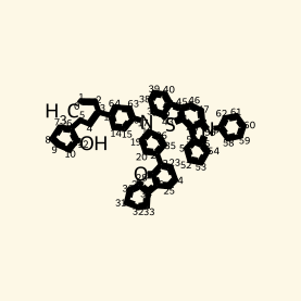 C/C=C\C(=C/Cc1ccccc1O)c1ccc(N(c2ccc(-c3cccc4c3oc3ccccc34)cc2)c2cccc3c2sc2c3ccc3c2c2ccccc2n3-c2ccccc2)cc1